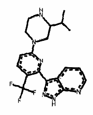 CC(C)C1CN(c2ccc(C(F)(F)F)c(-c3n[nH]c4ncccc34)n2)CCN1